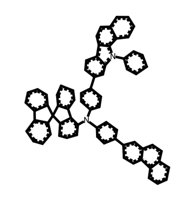 c1ccc(-n2c3cc(-c4ccc(N(c5ccc(-c6ccc7c(ccc8ccccc87)c6)cc5)c5cccc6c5-c5ccccc5C65c6ccccc6-c6ccccc65)cc4)ccc3c3ccc4ccccc4c32)cc1